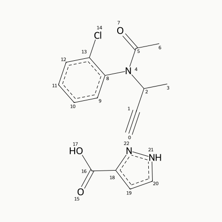 C#CC(C)N(C(C)=O)c1ccccc1Cl.O=C(O)c1cc[nH]n1